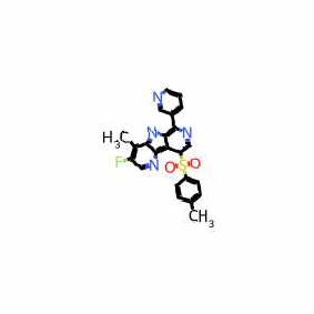 Cc1ccc(S(=O)(=O)C2C=NC(c3cccnc3)=C3N=c4c(C)c(F)cnc4=C32)cc1